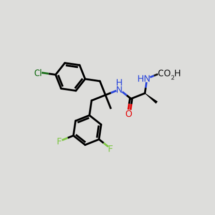 C[C@H](NC(=O)O)C(=O)NC(C)(Cc1ccc(Cl)cc1)Cc1cc(F)cc(F)c1